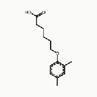 Cc1ccc(OCCCCCC(=O)O)c(C)c1